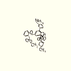 CCOC(=O)Cc1ccccc1OCc1cc(-c2cccc(CN)c2)c2cnn(S(=O)(=O)c3ccc(C)cc3)c2c1